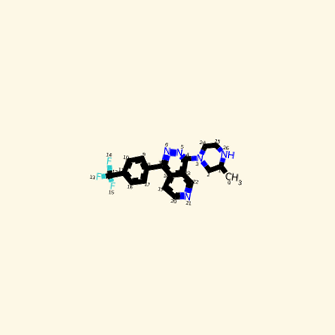 CC1CN(c2nnc(-c3ccc(C(F)(F)F)cc3)c3ccncc23)CCN1